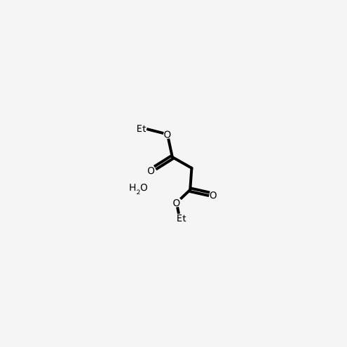 CCOC(=O)CC(=O)OCC.O